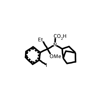 CCC(OC)(c1ccccc1I)N(C(=O)O)C1CC2CCC1C2